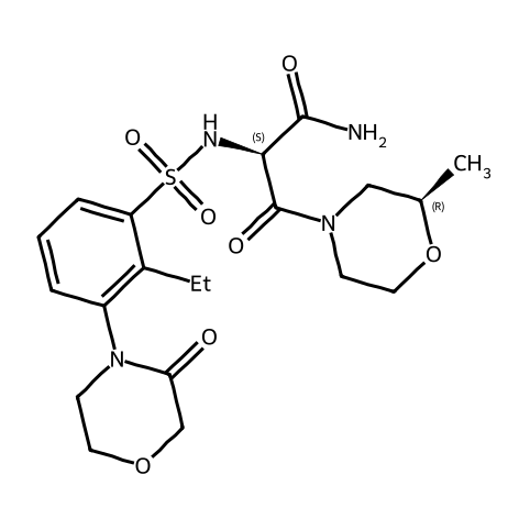 CCc1c(N2CCOCC2=O)cccc1S(=O)(=O)N[C@@H](C(N)=O)C(=O)N1CCO[C@H](C)C1